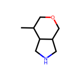 CC1COCC2CNCC12